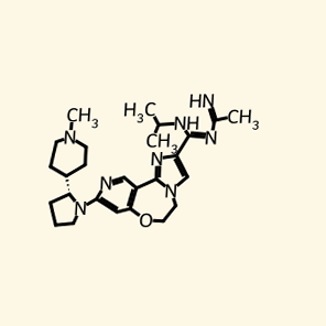 CC(=N)/N=C(\NC(C)C)c1cn2c(n1)-c1cnc(N3CCC[C@@H]3C3CCN(C)CC3)cc1OCC2